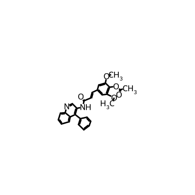 COc1cc(/C=C/C(=O)Nc2cnc3ccccc3c2-c2ccccc2)cc(OC)c1OC(C)=O